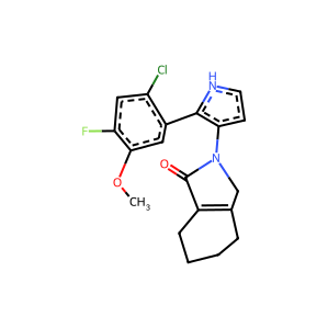 COc1cc(-c2[nH]ccc2N2CC3=C(CCCC3)C2=O)c(Cl)cc1F